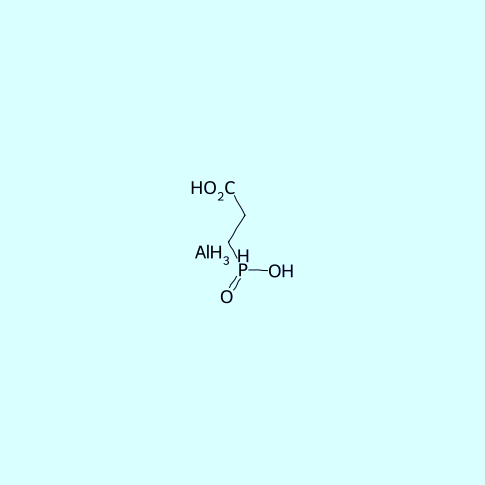 O=C(O)CC[PH](=O)O.[AlH3]